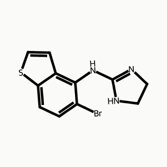 Brc1ccc2sccc2c1NC1=NCCN1